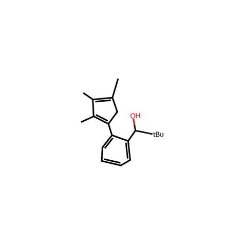 CC1=C(C)C(C)=C(c2ccccc2C(O)C(C)(C)C)C1